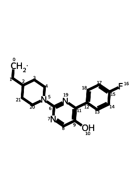 [CH2]CC1CCN(c2ncc(O)c(-c3ccc(F)cc3)n2)CC1